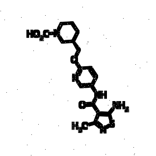 Cc1nsc(N)c1C(=O)Nc1ccc(OC[C@@H]2CCCN(C(=O)O)C2)nc1